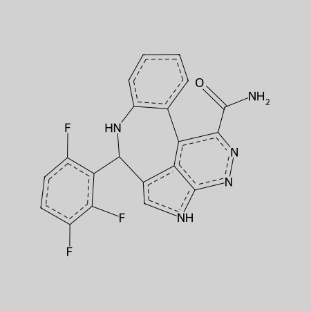 NC(=O)c1nnc2[nH]cc3c2c1-c1ccccc1NC3c1c(F)ccc(F)c1F